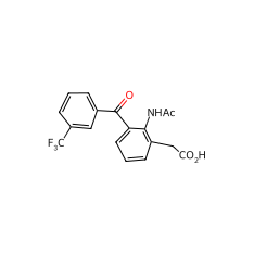 CC(=O)Nc1c(CC(=O)O)cccc1C(=O)c1cccc(C(F)(F)F)c1